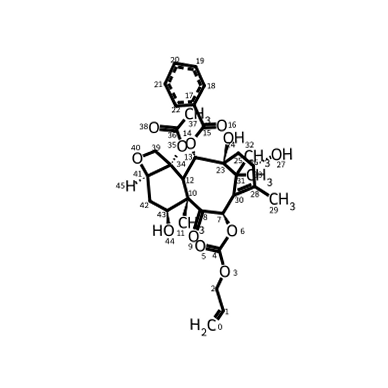 C=CCOC(=O)O[C@H]1C(=O)[C@@]2(C)C([C@H](OC(=O)c3ccccc3)[C@]3(O)C[C@H](O)C(C)=C1C3(C)C)[C@]1(OC(C)=O)CO[C@@H]1C[C@@H]2O